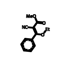 CCO/C(=C(/C#N)C(=O)OC)c1ccccc1